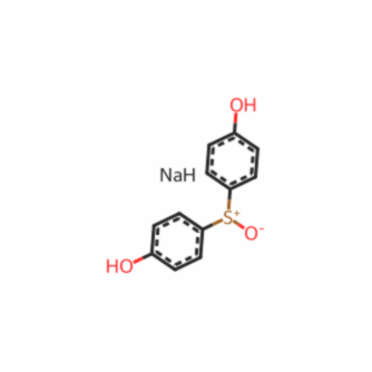 [NaH].[O-][S+](c1ccc(O)cc1)c1ccc(O)cc1